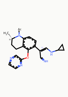 CC(=O)N1c2ccc(/C(C=N)=C/NC3CC3)c(Oc3cnccn3)c2CC[C@@H]1C